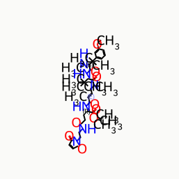 CN[C@H](C(=O)NC(C(=O)N(C)C/C=C(\C)C(=O)N[C@H](CCC(=O)NCCN1C(=O)C=CC1=O)C(=O)OC(C)(C)C)C(C)(C)C)C(C)(C)c1cccc(OC)c1